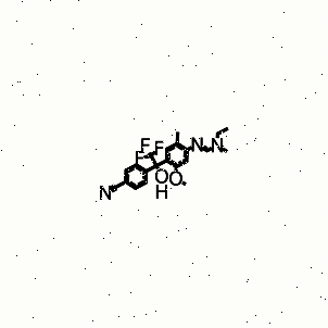 CCN(C)/C=N/c1cc(OC)c(C(O)(c2ccc(C#N)cc2)C(F)(F)F)cc1C